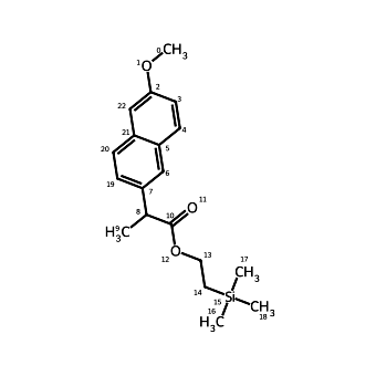 COc1ccc2cc(C(C)C(=O)OCC[Si](C)(C)C)ccc2c1